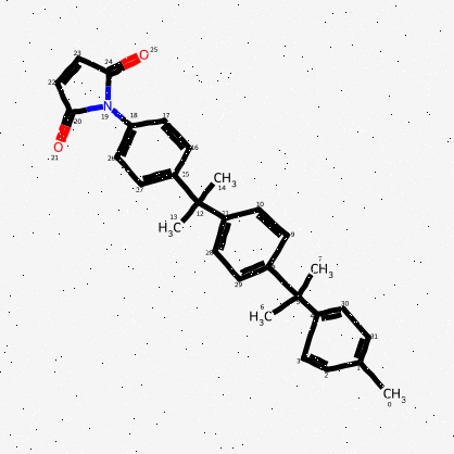 Cc1ccc(C(C)(C)c2ccc(C(C)(C)c3ccc(N4C(=O)C=CC4=O)cc3)cc2)cc1